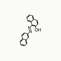 Oc1ccc2ccccc2c1N=Nc1ccc2ccccc2c1